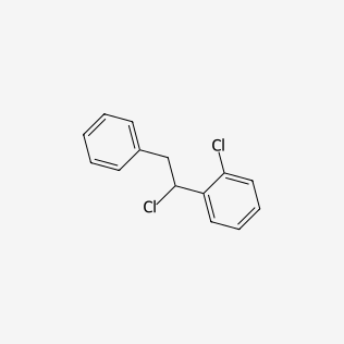 Clc1ccccc1C(Cl)Cc1ccccc1